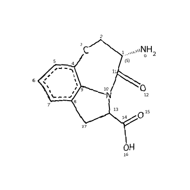 N[C@H]1CCc2cccc3c2N(C1=O)C(C(=O)O)C3